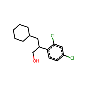 OCC(CC1CCCCC1)c1ccc(Cl)cc1Cl